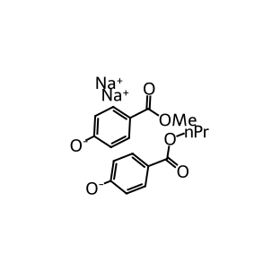 CCCOC(=O)c1ccc([O-])cc1.COC(=O)c1ccc([O-])cc1.[Na+].[Na+]